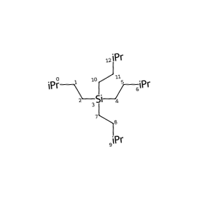 CC(C)CC[Si](CCC(C)C)(CCC(C)C)CCC(C)C